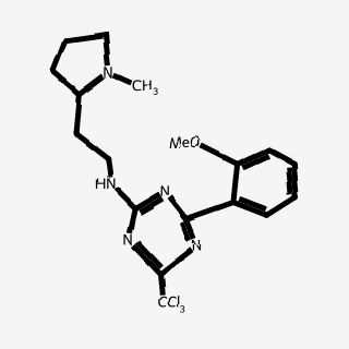 COc1ccccc1-c1nc(NCCC2CCCN2C)nc(C(Cl)(Cl)Cl)n1